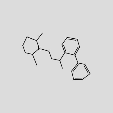 CC(CCN1C(C)CCCC1C)c1ccccc1-c1ccccc1